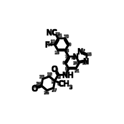 CC1(C(=O)Nc2cc(-c3ccc(C#N)c(F)c3)n3ncnc3c2)CCC(=O)CC1